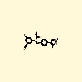 CCC(=O)N(Cc1ccc(-c2cn(C)nc2C)cc1)c1cc(F)cc(C#N)c1